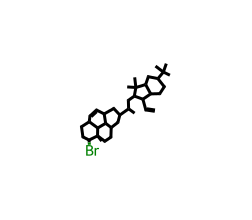 C=CC1C2CCC(C(C)(C)C)CC2C(C)(C)C1CC(C)C1CC2C=CC3CCC(Br)C4(C)CCC(C1)C2C34